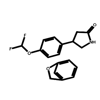 O=C1CC(c2ccc(OC(F)F)cc2)CN1.c1cc2cc(c1)OC2